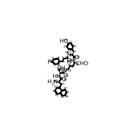 CN(C(=O)CCc1ccc(F)cc1)[C@@H](Cc1ccc(O)cc1)C(=O)N[C@@H]([C]=O)CCCNC(=O)[C@H](CO)NC(=O)[C@@H](N)Cc1cccc2ccccc12